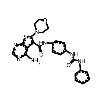 Nc1ncnc2sc(N3CCOCC3)c(C(=O)Nc3ccc(NC(=O)Nc4ccccc4)cc3)c12